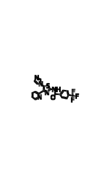 O=C(Nc1nc(-c2ccccn2)c(-n2ccnc2)s1)c1ccc(C(F)(F)F)cc1